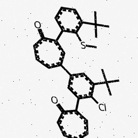 CSc1c(-c2cc(-c3cc(-c4cccccc4=O)c(Cl)c(C(C)(C)C)c3)cccc2=O)cccc1C(C)(C)C